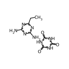 CCc1nc(N)nc(N)n1.O=c1[nH]c(=O)[nH]c(=O)[nH]1